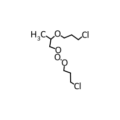 CC(COOOCCCCl)OCCCCl